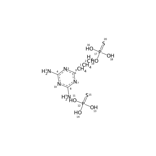 C.C.C.Nc1ncnc(N)n1.OP(O)(O)=S.OP(O)(O)=S